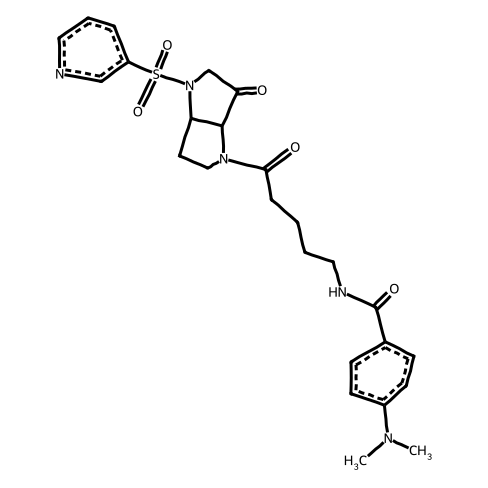 CN(C)c1ccc(C(=O)NCCCCC(=O)N2CCC3C2C(=O)CN3S(=O)(=O)c2cccnc2)cc1